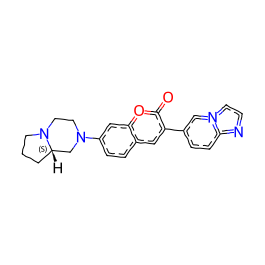 O=c1oc2cc(N3CCN4CCC[C@H]4C3)ccc2cc1-c1ccc2nccn2c1